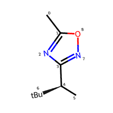 Cc1nc([C@@H](C)C(C)(C)C)no1